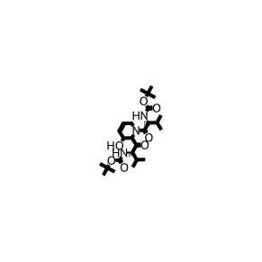 CC(C)[C@@H](NC(=O)OC(C)(C)C)C(=O)C1C(O)C=CCN1C(=O)[C@H](NC(=O)OC(C)(C)C)C(C)C